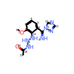 COc1cccc(C(=N)n2cncn2)c1NNNC(C)=O